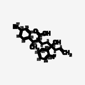 C=CCC(O)(CCN(C(=O)O)[C@@H](C)c1ccc(Br)cc1)c1ccccc1F